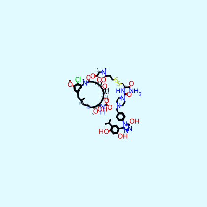 COc1cc2cc(c1Cl)N(C)C(=O)C[C@H](OC(=O)[C@H](C)N(C)C(=O)CCSSC[C@H](NC(=O)N1CCN(Cc3ccc(-n4c(O)nnc4-c4cc(C(C)C)c(O)cc4O)cc3)CC1)C(N)=O)[C@]1(C)O[C@H]1[C@H](C)[C@@H]1C[C@@](O)(NC(=O)O1)[C@H](OC)/C=C/C=C(\C)C2